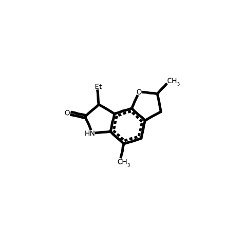 CCC1C(=O)Nc2c(C)cc3c(c21)OC(C)C3